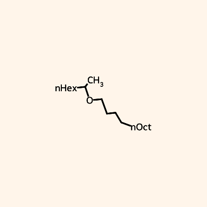 CCCCCCCCCCCCOC(C)CCCCCC